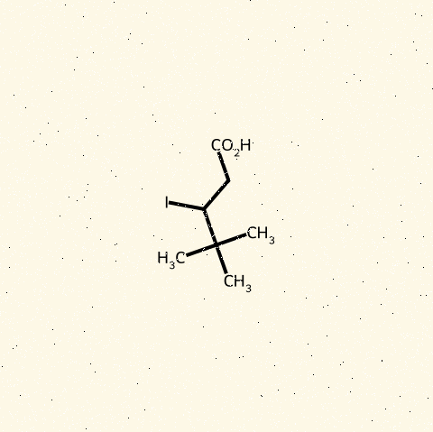 CC(C)(C)C(I)CC(=O)O